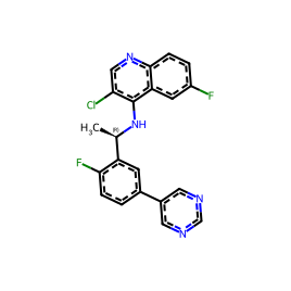 C[C@@H](Nc1c(Cl)cnc2ccc(F)cc12)c1cc(-c2cncnc2)ccc1F